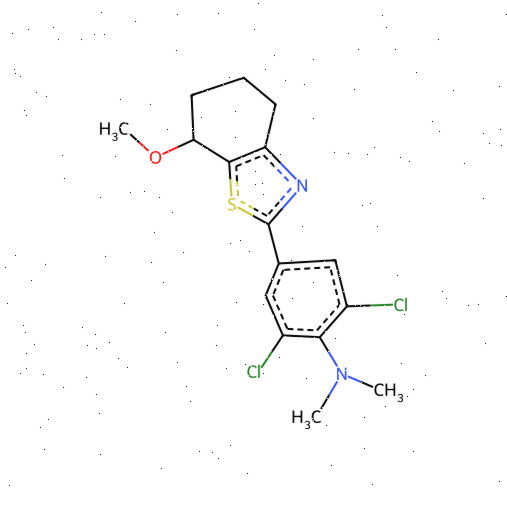 COC1CCCc2nc(-c3cc(Cl)c(N(C)C)c(Cl)c3)sc21